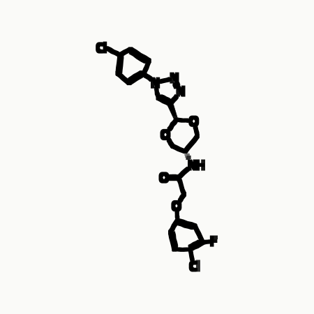 O=C(COc1ccc(Cl)c(F)c1)N[C@H]1CO[C@H](c2cn(-c3ccc(Cl)cc3)nn2)OC1